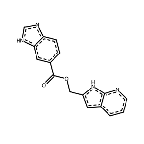 O=C(OCc1cc2cccnc2[nH]1)c1ccc2nc[nH]c2c1